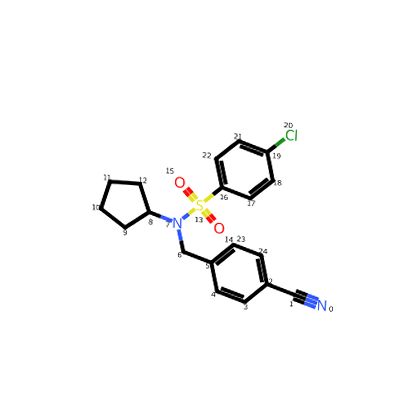 N#Cc1ccc(CN(C2CCCC2)S(=O)(=O)c2ccc(Cl)cc2)cc1